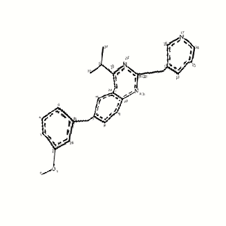 COc1cccc(-c2ccc3nc(-c4cccnc4)nc(C(C)C)c3c2)c1